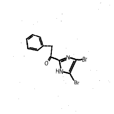 O=C(Cc1ccccc1)c1nc(Br)c(Br)[nH]1